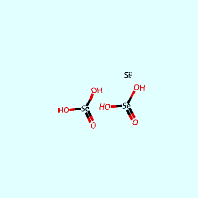 O=[Se](O)O.O=[Se](O)O.[Si]